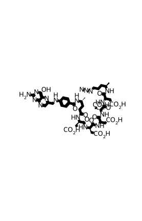 C[C@H](CCC(=O)N[C@H](CC(=O)O)C(=O)N[C@H](CC(=O)O)C(=O)NC(CC(=O)O)C(=O)N[C@H](CC(=O)O)C(=O)NC(CC(=O)O)C(=O)N[C@H](C)CCCN=[N+]=[N-])NC(=O)c1ccc(NCc2cnc3nc(N)nc(O)c3n2)cc1